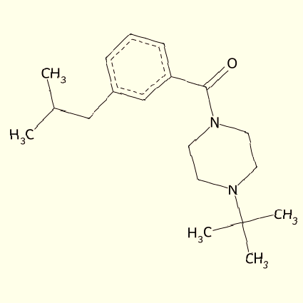 CC(C)Cc1cccc(C(=O)N2CCN(C(C)(C)C)CC2)c1